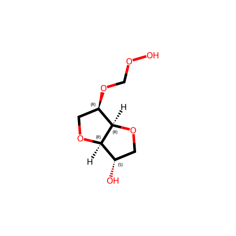 OOCO[C@@H]1CO[C@H]2[C@@H]1OC[C@@H]2O